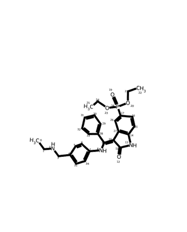 CCNCc1ccc(N/C(=C2\C(=O)Nc3ccc(P(=O)(OCC)OCC)cc32)c2ccccc2)cc1